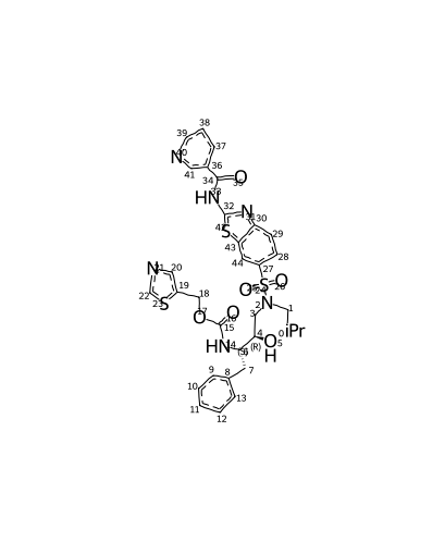 CC(C)CN(C[C@@H](O)[C@H](Cc1ccccc1)NC(=O)OCc1cncs1)S(=O)(=O)c1ccc2nc(NC(=O)c3cccnc3)sc2c1